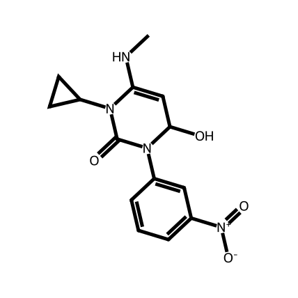 CNC1=CC(O)N(c2cccc([N+](=O)[O-])c2)C(=O)N1C1CC1